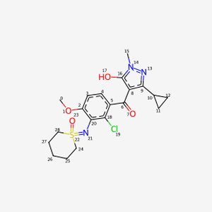 COc1ccc(C(=O)c2c(C3CC3)nn(C)c2O)c(Cl)c1N=S1(=O)CCCCC1